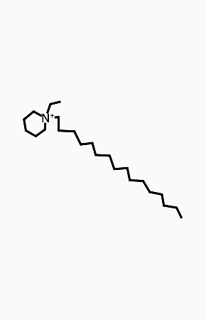 CCCCCCCCCCCCCCCC[N+]1(CC)CCCCC1